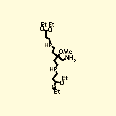 CCOC(CCPCCC(CN)(CCPCCC(OCC)OCC)OC)OCC